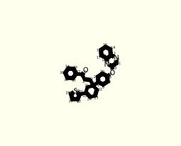 O=C(/C=C/C1(c2ccc(Oc3cnc4ccccc4n3)cc2)C=CC=C(c2cccs2)C1)c1ccccc1